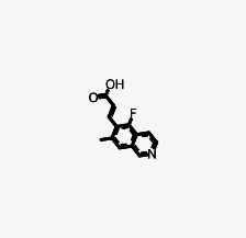 Cc1cc2cnccc2c(F)c1/C=C/C(=O)O